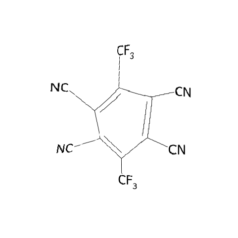 N#Cc1c(C#N)c(C(F)(F)F)c(C#N)c(C#N)c1C(F)(F)F